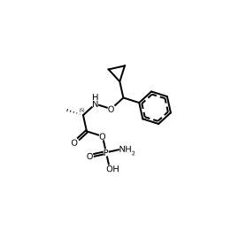 C[C@H](NOC(c1ccccc1)C1CC1)C(=O)OP(N)(=O)O